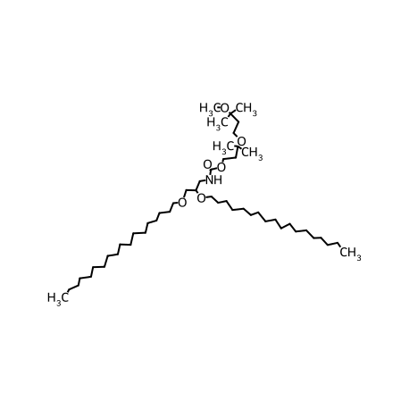 CCCCCCCCCCCCCCCCCCOCC(CNC(=O)OCCC(C)(C)OCCC(C)(C)OC)OCCCCCCCCCCCCCCCCCC